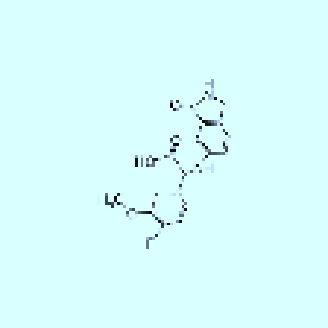 COc1cc(C(Nc2ccc3c(c2)C(=O)NC3)C(=O)O)ccc1F